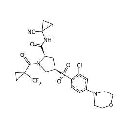 N#CC1(NC(=O)[C@H]2C[C@@H](S(=O)(=O)c3ccc(N4CCOCC4)cc3Cl)CN2C(=O)C2(C(F)(F)F)CC2)CC1